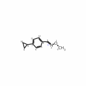 CO/N=C/c1ccc(C2CC2)cc1